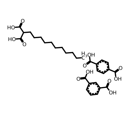 CCCCCCCCCCCC(C(=O)O)C(=O)O.O=C(O)c1ccc(C(=O)O)cc1.O=C(O)c1cccc(C(=O)O)c1